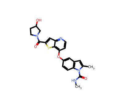 CNC(=O)n1c(C)cc2cc(Oc3ccnc4cc(C(=O)N5CCC(O)C5)sc34)ccc21